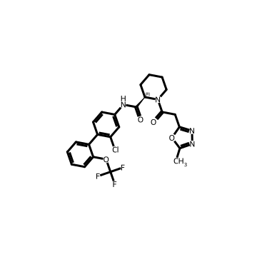 Cc1nnc(CC(=O)N2CCCC[C@@H]2C(=O)Nc2ccc(-c3ccccc3OC(F)(F)F)c(Cl)c2)o1